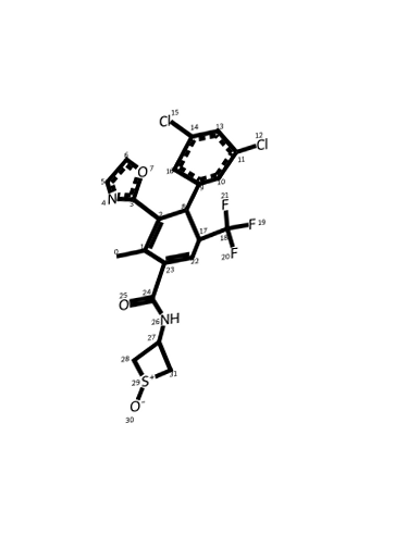 CC1=C(c2ncco2)C(c2cc(Cl)cc(Cl)c2)C(C(F)(F)F)C=C1C(=O)NC1C[S+]([O-])C1